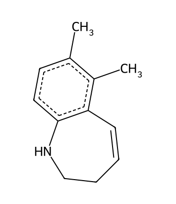 Cc1ccc2c(c1C)C=CCCN2